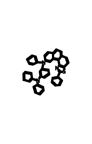 c1ccc(-c2nc3c(ccc4ccc5ccc(N(c6ccccc6)c6cccc(N(c7ccccc7)c7ccccc7)c6)cc5c43)s2)cc1